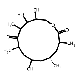 CC1C[C@H](C)CC(O)C[C@@H](C)C(=O)C(C)C(O)[C@@H](C)COC1=O